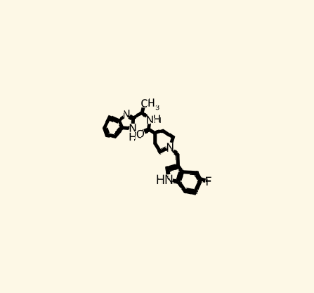 CC(NC(=O)C1CCN(Cc2c[nH]c3ccc(F)cc23)CC1)c1nc2ccccc2[nH]1